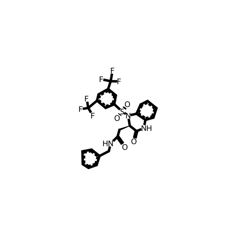 O=C(C[C@@H]1C(=O)Nc2ccccc2N1S(=O)(=O)c1cc(C(F)(F)F)cc(C(F)(F)F)c1)NCc1ccccc1